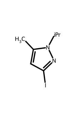 Cc1cc(I)nn1C(C)C